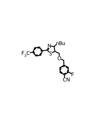 CCCCC1N=C(c2ccc(C(F)(F)F)cc2)SC1COCc1ccc(C#N)c(F)c1